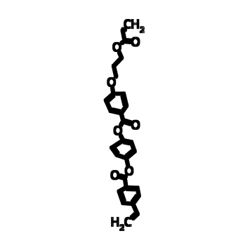 C=CC(=O)OCCCOc1ccc(C(=O)Oc2ccc(OC(=O)c3ccc(C=C)cc3)cc2)cc1